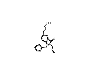 C=CCn1c(=O)c2cc(CCCO)ccc2n1Cc1ccccc1